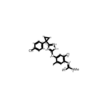 CNC(=Nc1cc(C)c(Oc2nc(C3(c4ccc(Cl)cc4)CC3)ns2)cc1Cl)C(C)C